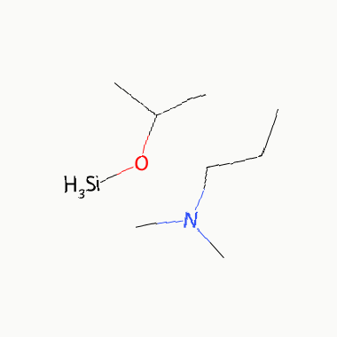 CC(C)O[SiH3].CCCN(C)C